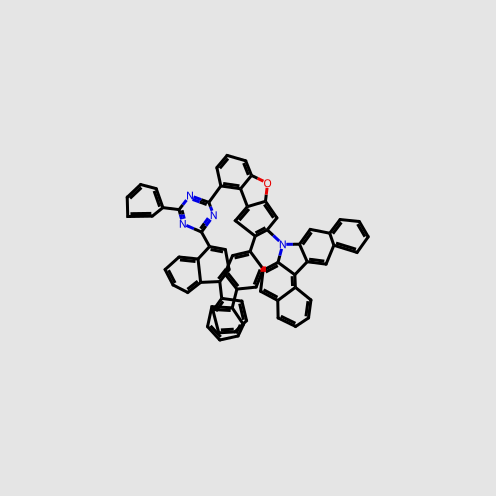 c1ccc(-c2ccc(-c3cc4c(cc3-n3c5cc6ccccc6cc5c5c6ccccc6ccc53)oc3cccc(-c5nc(-c6ccccc6)nc(-c6ccc(-c7ccccc7)c7ccccc67)n5)c34)cc2)cc1